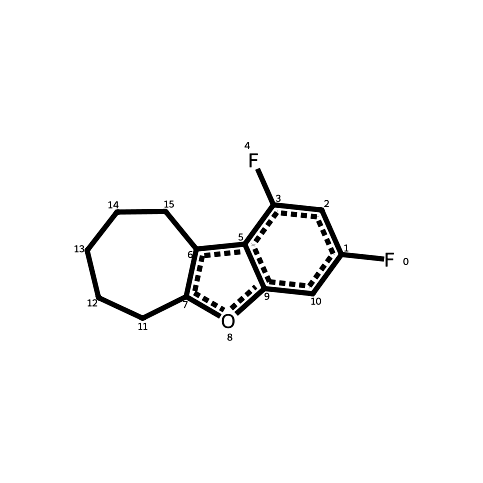 Fc1cc(F)c2c3c(oc2c1)CCCCC3